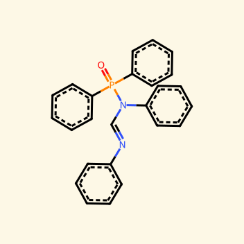 O=P(c1ccccc1)(c1ccccc1)N(/C=N/c1ccccc1)c1ccccc1